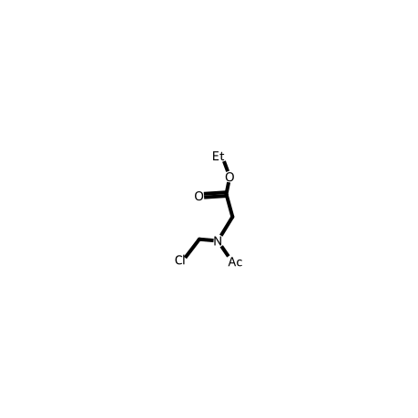 CCOC(=O)CN(CCl)C(C)=O